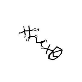 CC(C)(OC(=O)COC(=O)C(C)(O)C(F)(F)F)C12CC3CC(CC(C3)C1)C2